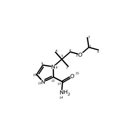 CC(C)OCC(C)(C)n1c[c]nc1C(N)=O